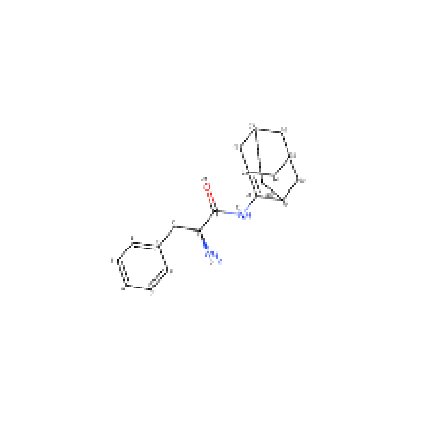 N[C@@H](Cc1ccccc1)C(=O)NC1=C2CC3CC(C2)CC1C3